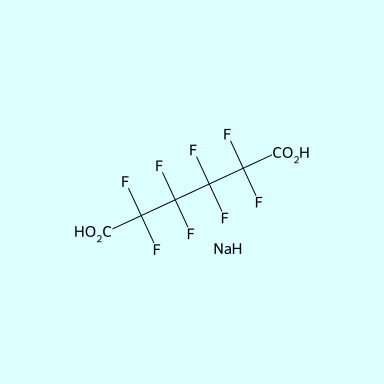 O=C(O)C(F)(F)C(F)(F)C(F)(F)C(F)(F)C(=O)O.[NaH]